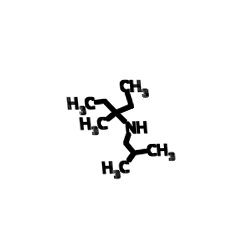 CCC(C)(CC)NCC(C)C